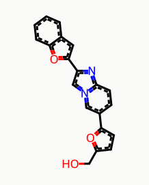 OCc1ccc(-c2ccc3nc(-c4cc5ccccc5o4)cn3c2)o1